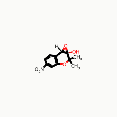 CC1(C)Oc2cc([N+](=O)[O-])ccc2[C@@H]2O[C@@]21O